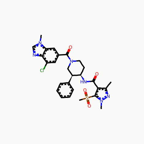 Cc1nn(C)c(S(C)(=O)=O)c1C(=O)N[C@@H]1CCN(C(=O)c2cc(Cl)c3ncn(C)c3c2)C[C@@H]1c1ccccc1